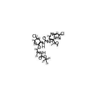 CO[C@@H](C)c1c(NC(=O)Nc2cc(Cl)cnc2OC[C@H](C)NC(=O)OC(C)(C)C)cnc2cc(Cl)nn12